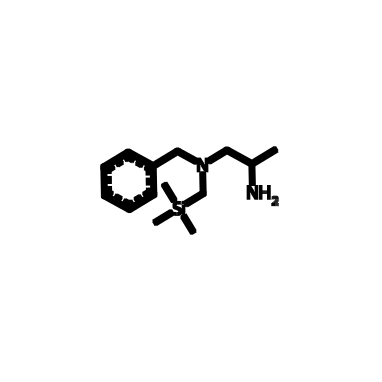 CC(N)CN(Cc1ccccc1)C[Si](C)(C)C